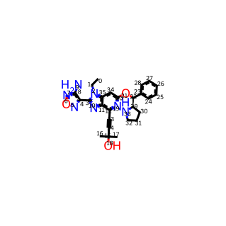 CCn1c(-c2nonc2N)nc2c(C#CC(C)(C)O)nc(OC(c3ccccc3)[C@H]3CCCN3)cc21